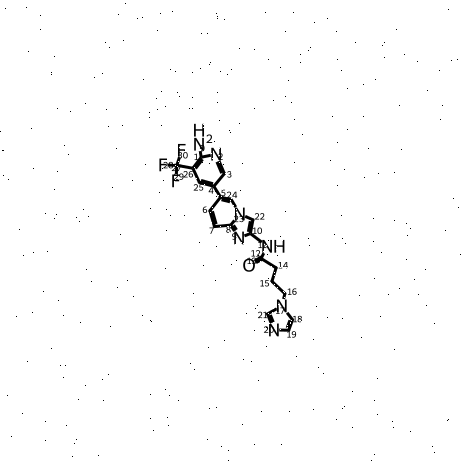 Nc1ncc(-c2ccc3nc(NC(=O)CCCn4ccnc4)cn3c2)cc1C(F)(F)F